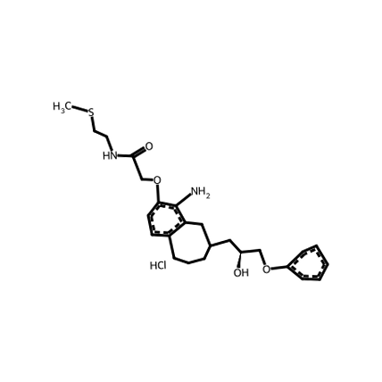 CSCCNC(=O)COc1ccc2c(c1N)CC(C[C@H](O)COc1ccccc1)CCC2.Cl